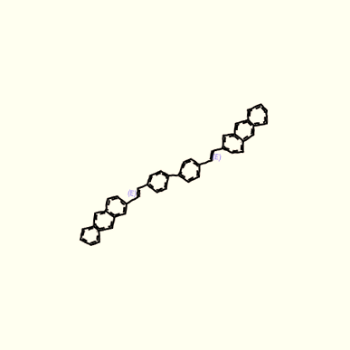 C(=C\c1ccc2cc3ccccc3cc2c1)/c1ccc(-c2ccc(/C=C/c3ccc4cc5ccccc5cc4c3)cc2)cc1